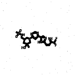 CC1(O)CC(CNS(C)(=O)=O)CN(c2cc(-c3cnc(/C=C\C(=N)C(F)F)[nH]3)ncn2)C1